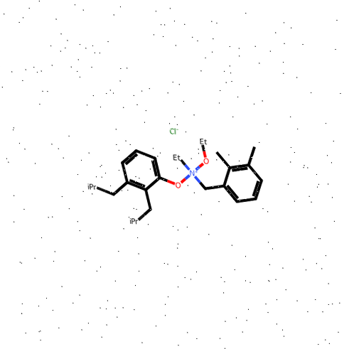 CCO[N+](CC)(Cc1cccc(C)c1C)Oc1cccc(CC(C)C)c1CC(C)C.[Cl-]